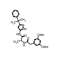 COc1cc(CC(=O)N[C@@H](C)C(=O)Nc2cc(C(C)(C)c3ccccc3)n[nH]2)cc(OC)c1